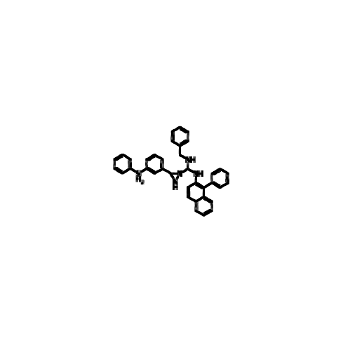 c1ccc(CNC(Nc2ccc3ccccc3c2-c2ccccc2)N2NC2c2cccc([SiH2]c3ccccc3)c2)cc1